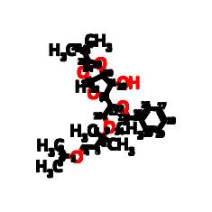 CC(C)OCCC(C)(C)OCC(OC(C)c1ccccc1)[C@H]1O[C@@H]2OC(C(C)C)OC2C1O